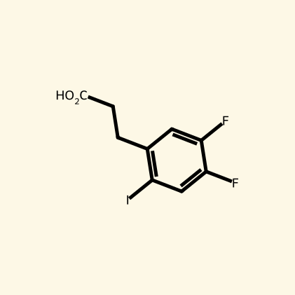 O=C(O)CCc1cc(F)c(F)cc1I